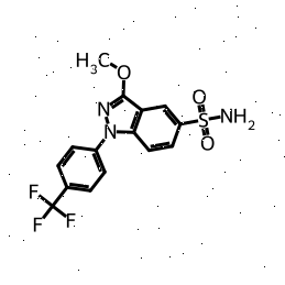 COc1nn(-c2ccc(C(F)(F)F)cc2)c2ccc(S(N)(=O)=O)cc12